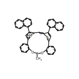 CB1Oc2ccccc2C2=N/C(=C\c3[nH]c(cc3-c3cccc4ccccc34)-c3ccccc3O1)C(c1cccc3ccccc13)=C2